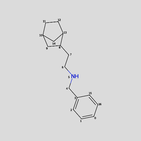 c1ccc(CNCCC2CC3CCC2C3)cc1